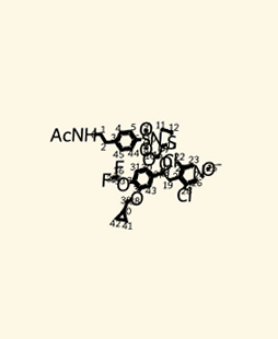 CC(=O)NCCc1ccc(S(=O)(=O)N2CCS[C@H]2C(=O)O[C@@H](Cc2c(Cl)c[n+]([O-])cc2Cl)c2ccc(OC(F)F)c(OCC3CC3)c2)cc1